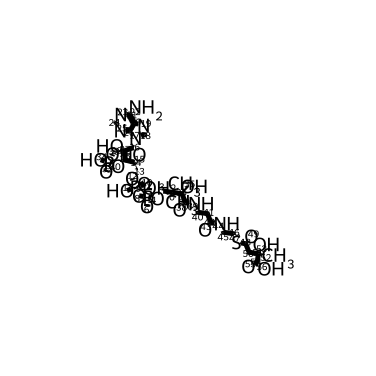 CC(C)(COP(=O)(O)OP(=O)(O)OC[C@H]1O[C@@H](n2cnc3c(N)ncnc32)[C@H](O)[C@@H]1OP(=O)(O)O)[C@@H](O)C(=O)NCCC(=O)NCCSC(=O)C[C@@](C)(O)C(=O)O